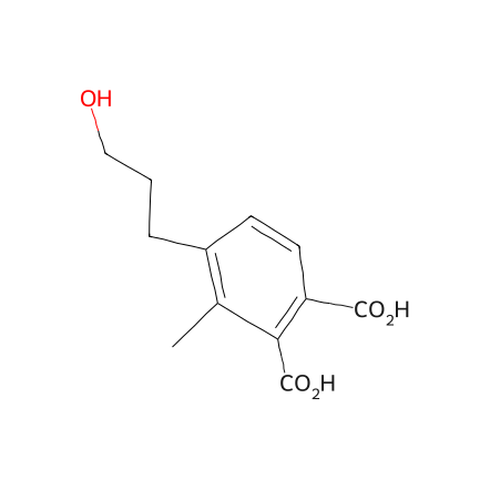 Cc1c(CCCO)ccc(C(=O)O)c1C(=O)O